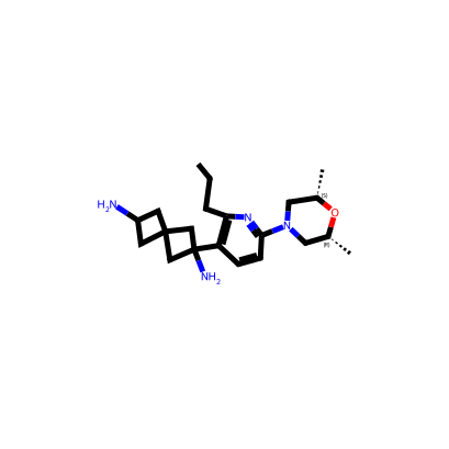 CCCc1nc(N2C[C@@H](C)O[C@@H](C)C2)ccc1C1(N)CC2(CC(N)C2)C1